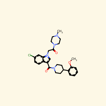 COc1ccccc1C1CCN(C(=O)c2cn(CC(=O)N3CCN(C)CC3)c3cc(Cl)ccc23)CC1